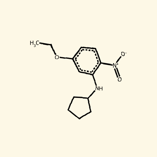 CCOc1ccc([N+](=O)[O-])c(NC2CCCC2)c1